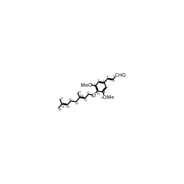 COc1cc(/C=C/C=O)cc(OC)c1OC/C=C(\C)CCC=C(C)C